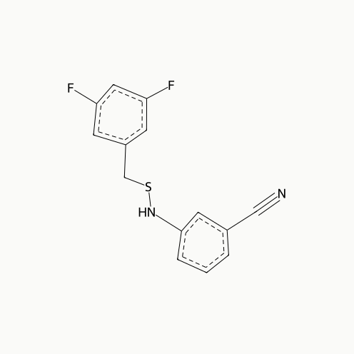 N#Cc1cccc(NSCc2cc(F)cc(F)c2)c1